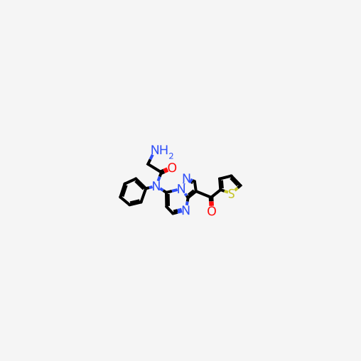 NCC(=O)N(c1ccccc1)c1ccnc2c(C(=O)c3cccs3)cnn12